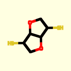 SC1COC2C(S)COC12